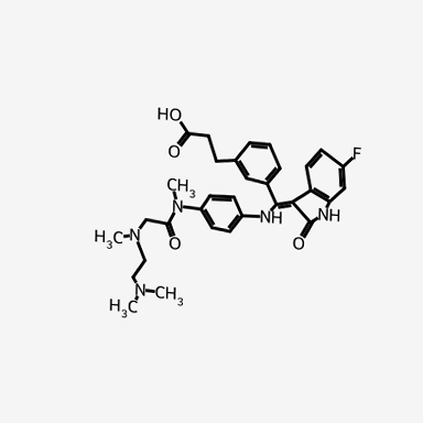 CN(C)CCN(C)CC(=O)N(C)c1ccc(N/C(=C2\C(=O)Nc3cc(F)ccc32)c2cccc(CCC(=O)O)c2)cc1